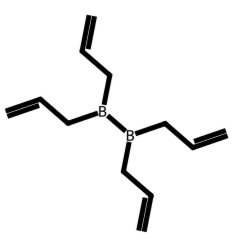 C=CCB(CC=C)B(CC=C)CC=C